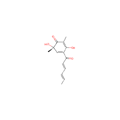 C/C=C/C=C/C(=O)C1=C[C@](C)(O)C(=O)C(C)=C1O